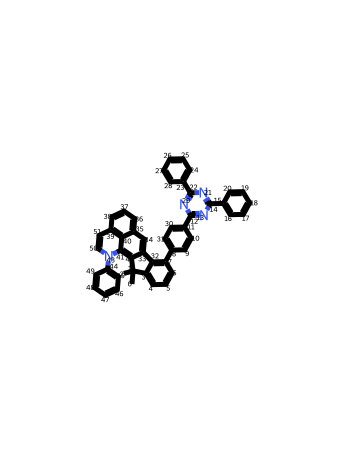 CC1(C)c2cccc(-c3ccc(-c4nc(-c5ccccc5)nc(-c5ccccc5)n4)cc3)c2-c2cc3cccc4c3c(c21)N(c1ccccc1)C=C4